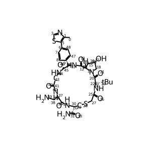 Cc1ncsc1-c1ccc([C@@H]2NC(=O)[C@@H]3C[C@@H](O)CN3C(=O)[C@H](C(C)(C)C)NC(=O)CSC[C@H](C(N)=O)NC(=O)[C@@H](CN)NC(=O)CNC2=O)cc1